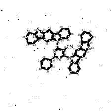 N#Cc1c(-n2c3ccccc3c3cc4sc5ccccc5c4cc32)nc(-c2ccccc2)nc1-n1c2ccccc2c2cc3sc4ccccc4c3cc21